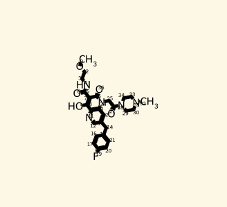 COCCNC(=O)c1c(O)c2ncc(Cc3ccc(F)cc3)cc2n(CC(=O)N2CCN(C)CC2)c1=O